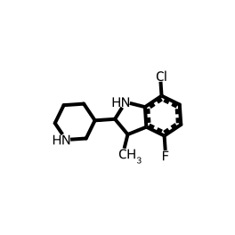 CC1c2c(F)ccc(Cl)c2NC1C1CCCNC1